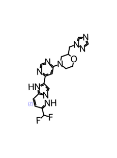 N=C(/C=C\c1ncc(-c2cc(N3CCOC(Cn4cncn4)C3)ncn2)[nH]1)C(F)F